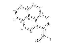 C[PH](=O)c1ccc2ccc3cccc4ccc1c2c34